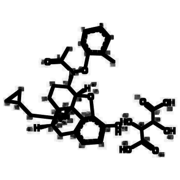 CC(=O)N(Oc1ccccc1C)[C@@H]1CC[C@@]2(O)[C@H]3Cc4ccc(O)c5c4[C@@]2(CCN3CC2CC2)[C@H]1O5.O=C(O)C(O)C(O)C(=O)O